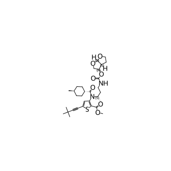 COC(=O)c1sc(C#CC(C)(C)C)cc1N(C(=O)[C@H]1CC[C@H](C)CC1)[C@@H](C)CCNC(=O)O[C@H]1CO[C@H]2OCC[C@H]21